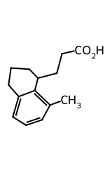 Cc1cccc2c1C(CCC(=O)O)CCC2